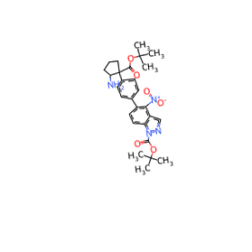 CC(C)(C)OC(=O)n1ncc2c([N+](=O)[O-])c(-c3ccc(C4(C(=O)OC(C)(C)C)CCCC4N)cc3)ccc21